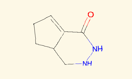 O=C1NNCC2CCC=C12